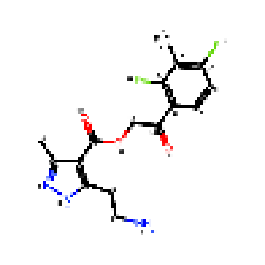 Cc1n[nH]c(CCN)c1C(=O)OCC(=O)c1ccc(F)c(C(F)(F)F)c1F